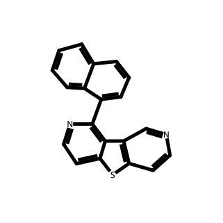 c1ccc2c(-c3nccc4sc5ccncc5c34)cccc2c1